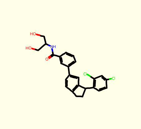 O=C(NC(CO)CO)c1cccc(-c2ccc3c(c2)C(c2ccc(Cl)cc2Cl)CC3)c1